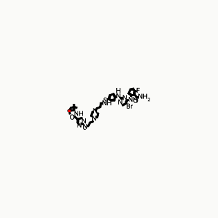 CN(CCCN1CCN(CCCNSc2ccc(Nc3ncc(Br)c(Nc4cccc(F)c4C(N)=O)n3)cc2)CC1)c1ncc(C(=O)NC2C(C)(C)CC2(C)C)cn1